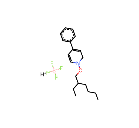 CCCCC(CC)CON1C=CC(c2ccccc2)=CC1.F[B-](F)(F)F.[H+]